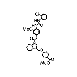 COC(=O)C1CCC(OCC2CN(C(=O)Cc3ccc(NC(=O)Nc4ccccc4Cl)c(OC)c3)C3CCCCC23)CC1